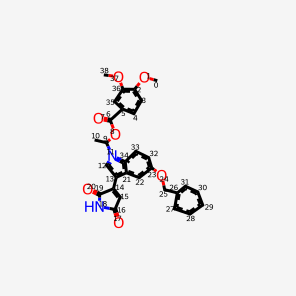 COc1ccc(C(=O)OC(C)n2cc(C3=CC(=O)NC3=O)c3cc(OCc4ccccc4)ccc32)cc1OC